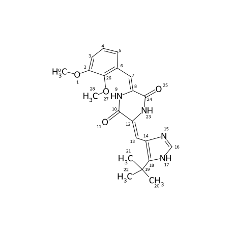 COc1cccc(/C=c2\[nH]c(=O)/c(=C/c3nc[nH]c3C(C)(C)C)[nH]c2=O)c1OC